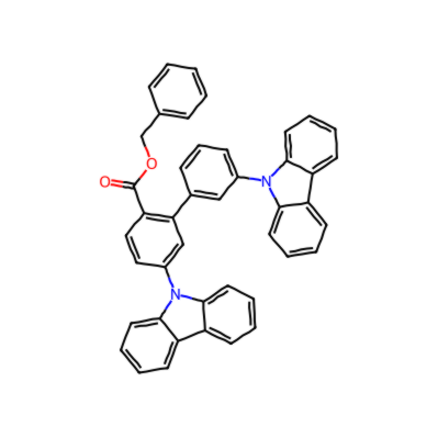 O=C(OCc1ccccc1)c1ccc(-n2c3ccccc3c3ccccc32)cc1-c1cccc(-n2c3ccccc3c3ccccc32)c1